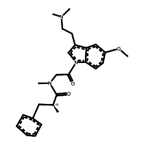 COc1ccc2c(c1)c(CCN(C)C)cn2C(=O)CN(C)C(=O)[C@@H](C)Cc1ccccc1